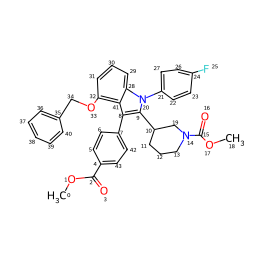 COC(=O)c1ccc(-c2c(C3CCCN(C(=O)OC)C3)n(-c3ccc(F)cc3)c3cccc(OCc4ccccc4)c23)cc1